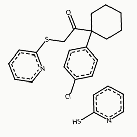 O=C(CSc1ccccn1)C1(c2ccc(Cl)cc2)CCCCC1.Sc1ccccn1